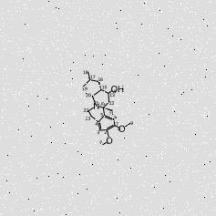 COc1cc2c(cc1OC)[C@@]1(C)C[C@H](O)[C@H](CC(C)C)CN1CC2